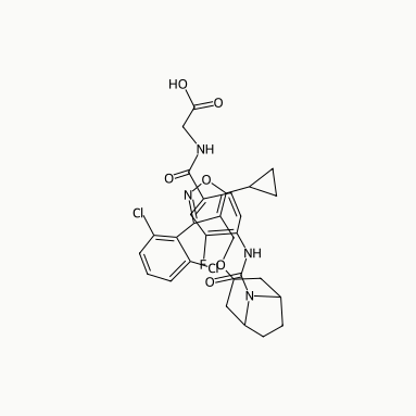 O=C(O)CNC(=O)c1ccc(NC(=O)N2C3CCC2CC(OCc2c(-c4c(Cl)cccc4Cl)noc2C2CC2)C3)c(F)c1